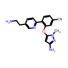 Cn1nc(N)cc1Oc1cc(C#N)ccc1-c1ccc(CCN)cn1